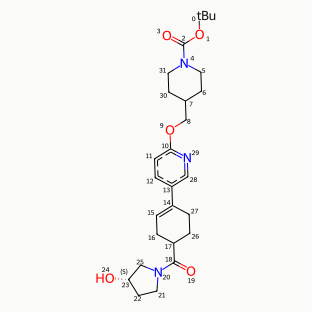 CC(C)(C)OC(=O)N1CCC(COc2ccc(C3=CCC(C(=O)N4CC[C@H](O)C4)CC3)cn2)CC1